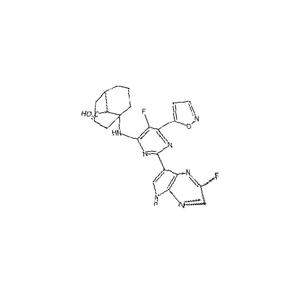 O=C(O)C1C2CCCC1(Nc1nc(-c3c[nH]c4ncc(F)nc34)nc(-c3ccno3)c1F)CCC2